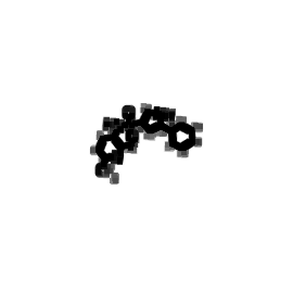 O=S(=O)(Nc1ccc(C(F)(F)F)nc1F)c1c[nH]c(-c2ccccc2)c1